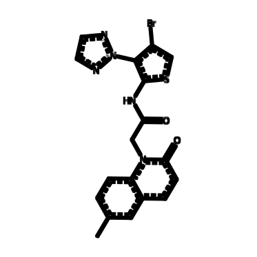 Cc1ccc2c(ccc(=O)n2CC(=O)Nc2scc(Br)c2-n2nccn2)c1